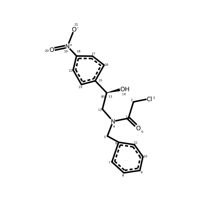 O=C(CCl)N(Cc1ccccc1)C[C@H](O)c1ccc([N+](=O)[O-])cc1